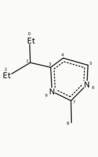 CCC(CC)c1ccnc(C)n1